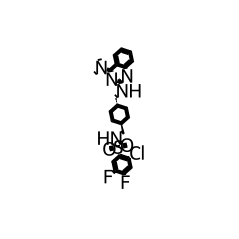 CN(C)c1nc(NC[C@H]2CC[C@H](CNS(=O)(=O)c3cc(F)c(F)cc3Cl)CC2)nc2ccccc12